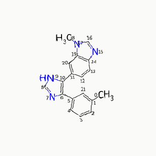 Cc1cccc(-c2nc[nH]c2-c2ccc3ncn(C)c3c2)c1